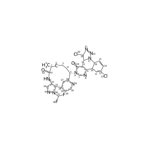 C[C@@H]1CCC[C@H](n2cnc(C3C=C(Cl)C=CC3N3CC(Cl)N=N3)cc2=O)c2cc(ccn2)-c2c(cnn2C(F)F)NC1=O